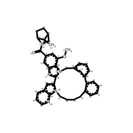 COc1cc(C(=O)N2CC3CCC2[C@@H]3C)cc2nc3n(c12)Cc1cccc(c1)-c1ccccc1CCCCn1c-3cc2cccnc21